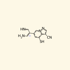 N#Cc1cnn2cc(/C(C=N)=C/N)cc(S)c12